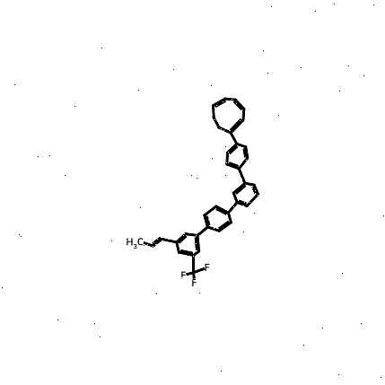 C/C=C/c1cc(-c2ccc(-c3cccc(-c4ccc(/C5=C/C=C\C=C/CC5)cc4)c3)cc2)cc(C(F)(F)F)c1